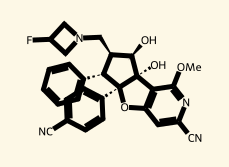 COc1nc(C#N)cc2c1[C@]1(O)[C@H](O)[C@H](CN3CC(F)C3)[C@@H](c3ccccc3)[C@]1(c1ccc(C#N)cc1)O2